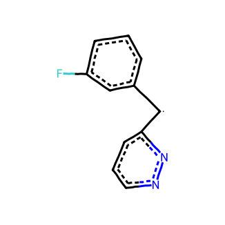 Fc1cccc([CH]c2cccnn2)c1